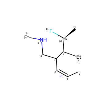 C/C=C\C(CNCC)C(CC)[C@H](C)F